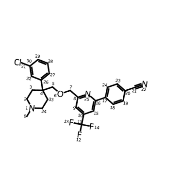 CN1CCC(COCc2cc(C(F)(F)F)cc(-c3ccc(C#N)cc3)n2)(c2cccc(Cl)c2)CC1